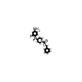 CN(c1ccc(N)cc1F)C1CCN(C(=O)OCc2ccccc2)CC1